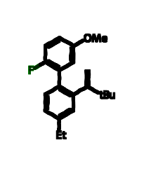 C=C(c1cc(CC)ccc1-c1cc(OC)ccc1F)C(C)(C)C